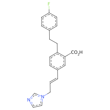 O=C(O)c1cc(C=CCn2ccnc2)ccc1CCc1ccc(F)cc1